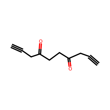 C#CCC(=O)CCC(=O)CC#C